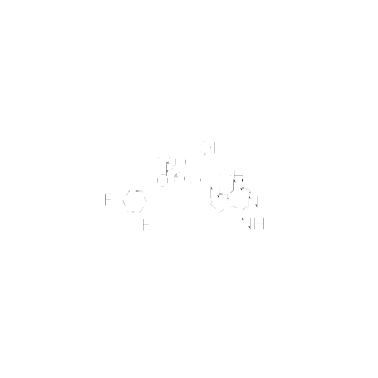 C[C@@]1(O)[C@H](O)C(OP2(=O)OCC[C@H](c3cc(F)cc(F)c3)O2)O[C@H]1n1ccc2c(N)ncnc21